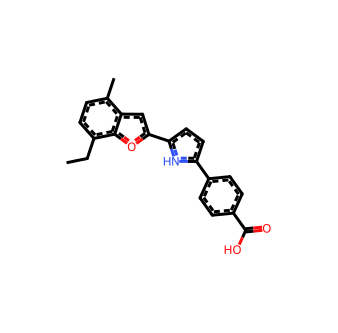 CCc1ccc(C)c2cc(-c3ccc(-c4ccc(C(=O)O)cc4)[nH]3)oc12